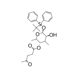 CC(=O)CCC(=O)O[C@@H]1C(C)O[C@@H](O[Si](c2ccccc2)(c2ccccc2)C(C)(C)C)[C@@H](O)C1C